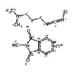 CCN=C=NCCCN(C)C.Cl.O=C1c2ccccc2C(=O)N1O